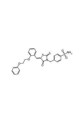 NS(=O)(=O)c1ccc(CN2C(=O)C(=Cc3ccccc3OCCOc3ccccc3)SC2=S)cc1